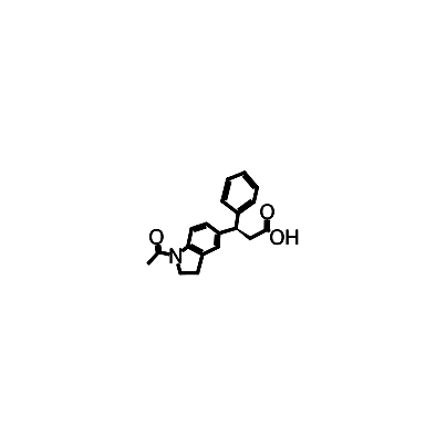 CC(=O)N1CCc2cc([C@H](CC(=O)O)c3ccccc3)ccc21